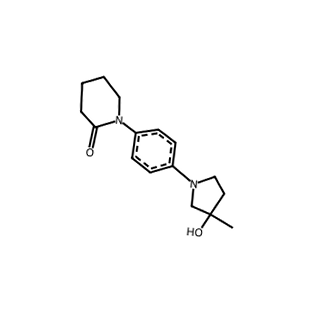 CC1(O)CCN(c2ccc(N3CCCCC3=O)cc2)C1